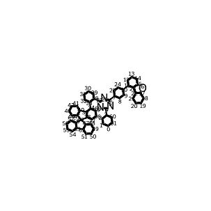 c1ccc(-c2nc(-c3ccc(-c4cccc5oc6ccccc6c45)cc3)nc(-c3ccccc3-c3cccc4c3-c3ccccc3C43c4ccccc4-c4ccccc43)n2)cc1